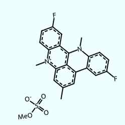 COS(=O)(=O)[O-].Cc1cc2c3c(c4cc(F)ccc4[n+](C)c3c1)N(C)c1ccc(F)cc1-2